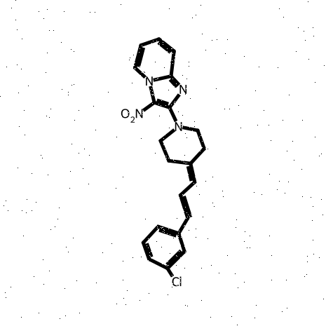 O=[N+]([O-])c1c(N2CCC(=C/C=C/c3cccc(Cl)c3)CC2)nc2ccccn12